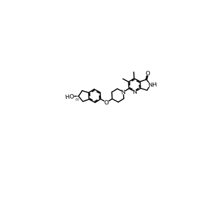 Cc1c(N2CCC(Oc3ccc4c(c3)C[C@@H](O)C4)CC2)nc2c(c1C)C(=O)NC2